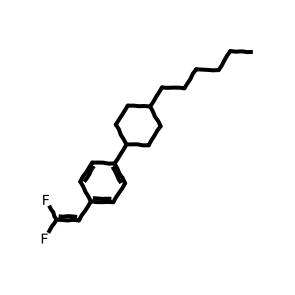 CCCCCCC1CCC(c2ccc(C=C(F)F)cc2)CC1